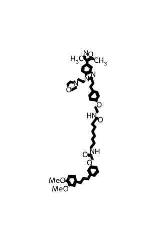 COc1ccc(CCCc2cccc(OCC(=O)NCCCCCCCC(=O)NCCOc3ccc(CCc4nc5cc(-c6c(C)noc6C)ccc5n4CCN4CCOCC4)cc3)c2)cc1OC